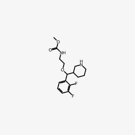 COC(=O)NCCOC(c1cccc(F)c1F)C1CCCNC1